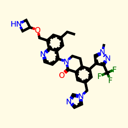 CCc1cc(COC2CNC2)c2nccc(N3CCc4c(cc(Cn5ccnc5)cc4-c4cn(C)nc4C(F)(F)F)C3=O)c2c1